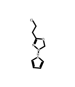 ClCCC1=NN([SH]2C=CC=C2)CO1